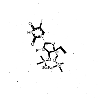 C=C[C@]1(CO[Si](C)(C)C(C)(C)C)O[C@@H](n2cc(F)c(=O)[nH]c2=O)[C@@H](F)C1O[Si](C)(C)C(C)(C)C